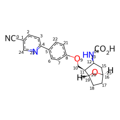 N#Cc1ccc(-c2ccc(OC[C@H]3[C@@H](NC(=O)O)C[C@H]4CC[C@H]3O4)cc2)nc1